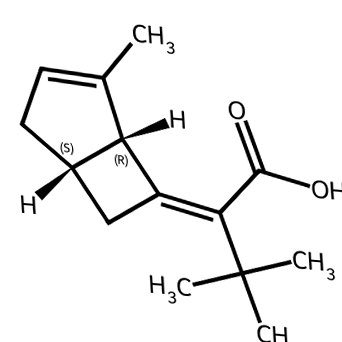 CC1=CC[C@H]2CC(=C(C(=O)O)C(C)(C)C)[C@@H]12